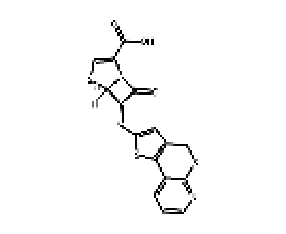 O=C(O)C1=CS[C@@H]2C(=Cc3cc4c(s3)-c3cccnc3SC4)C(=O)N12